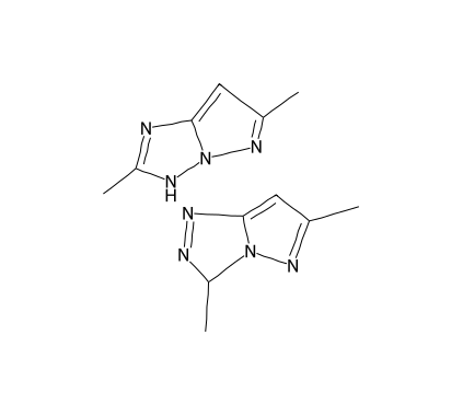 Cc1cc2n(n1)C(C)N=N2.Cc1cc2nc(C)[nH]n2n1